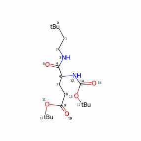 CC(C)(C)CCNC(=O)C(CCC(=O)OC(C)(C)C)NC(=O)OC(C)(C)C